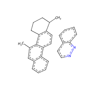 Cc1cc2ccccc2c2ccc3c(c12)CCCC3C.c1ccc2nnccc2c1